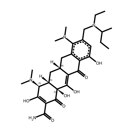 CCC(C)N(CC)Cc1cc(O)c2c(c1N(C)C)C[C@H]1C[C@H]3[C@H](N(C)C)C(O)=C(C(N)=O)C(=O)[C@@]3(O)C(O)=C1C2=O